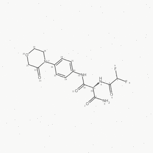 NC(=O)[C@H](NC(=O)C(F)F)C(=O)Nc1ccc(N2CCOCC2=O)cc1